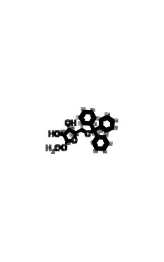 CO[C@H]1O[C@H](COC(c2ccccc2)(c2ccccc2)c2ccccc2)[C@@H](O)[C@@H]1O